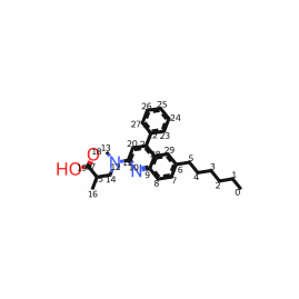 CCCCCCc1ccc2nc(N(C)CC(C)C(=O)O)cc(-c3ccccc3)c2c1